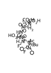 CC(=O)N(CC[C@H](N)C(=O)N[C@H](CNC(=O)CNC(=O)C(CC(=O)O)SC[C@H](N)C(=O)O)C(=O)O)[C@@H](c1cc(-c2cc(F)ccc2F)cn1Cc1ccccc1)C(C)(C)C